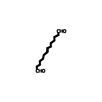 O=CCCCCCC=CCCCCCC=O